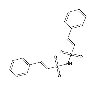 O=S(=O)(C=Cc1ccccc1)NS(=O)(=O)C=Cc1ccccc1